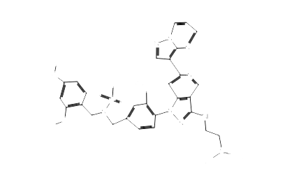 COc1ccc(CN(Cc2ccc(-n3nc(NCCN(C)C)c4cnc(-c5cnn6cccnc56)cc43)c(OC)c2)S(C)(=O)=O)c(OC)c1